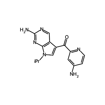 CC(C)n1cc(C(=O)c2cc(N)ccn2)c2cnc(N)nc21